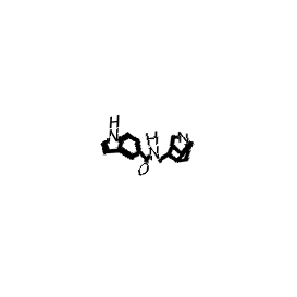 O=C(NCC1C2CC3CC1CN(C3)C2)c1ccc2[nH]ccc2c1